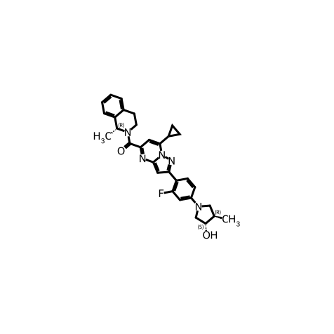 C[C@@H]1CN(c2ccc(-c3cc4nc(C(=O)N5CCc6ccccc6[C@H]5C)cc(C5CC5)n4n3)c(F)c2)C[C@H]1O